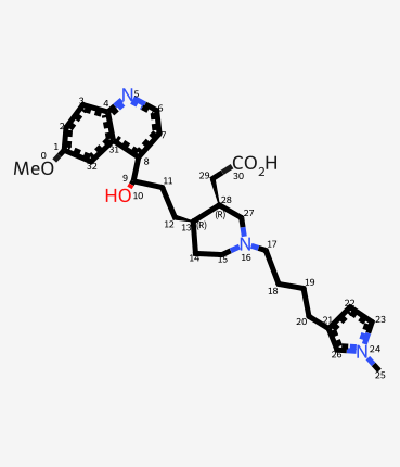 COc1ccc2nccc(C(O)CC[C@@H]3CCN(CCCCc4ccn(C)c4)C[C@@H]3CC(=O)O)c2c1